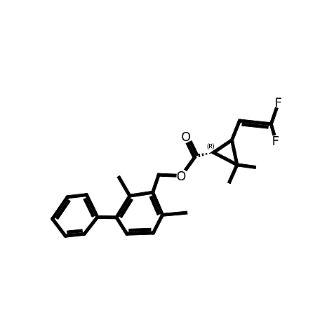 Cc1ccc(-c2ccccc2)c(C)c1COC(=O)[C@@H]1C(C=C(F)F)C1(C)C